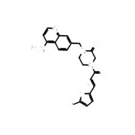 Nc1ccnc2cc(CN3CCN(C(=O)/C=C/c4ccc(Cl)s4)CC3=O)ccc12